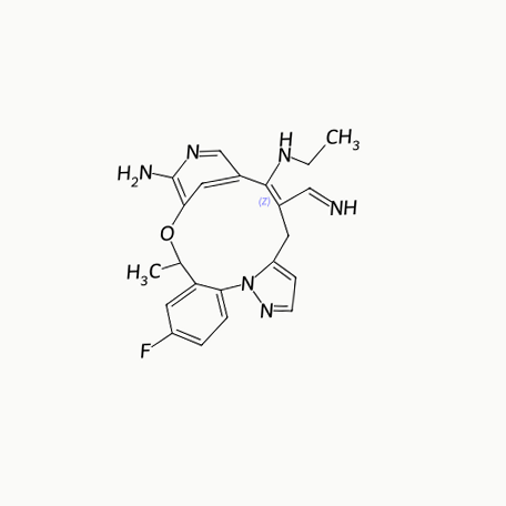 CCN/C1=C(\C=N)Cc2ccnn2-c2ccc(F)cc2C(C)Oc2cc1cnc2N